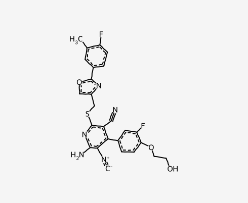 [C-]#[N+]c1c(N)nc(SCc2coc(-c3ccc(F)c(C)c3)n2)c(C#N)c1-c1ccc(OCCO)c(F)c1